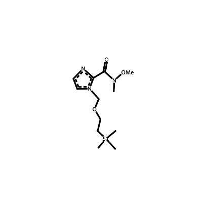 CON(C)C(=O)c1nccn1COCC[Si](C)(C)C